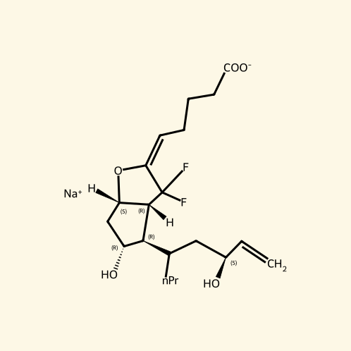 C=C[C@@H](O)CC(CCC)[C@@H]1[C@@H]2[C@H](C[C@H]1O)OC(=CCCCC(=O)[O-])C2(F)F.[Na+]